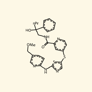 CCCC(O)(CNC(=O)c1cc(Sc2cnc(Nc3ccc(COC)cn3)s2)ccn1)c1ccccc1